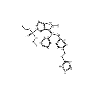 CCOP(=O)(OCC)c1ccc2c(c1)/C(=C(/Nc1ccc(CCc3nnn[nH]3)cc1)c1ccccc1)C(=O)N2